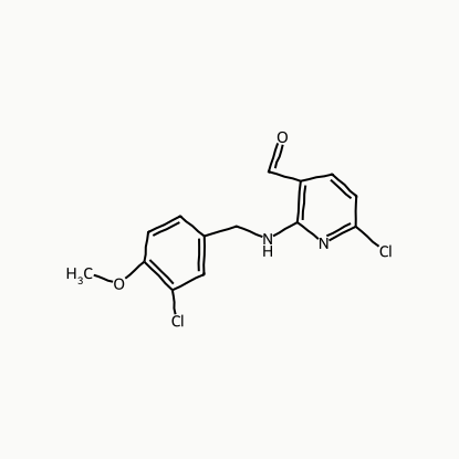 COc1ccc(CNc2nc(Cl)ccc2C=O)cc1Cl